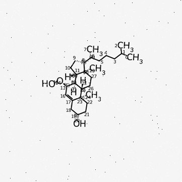 CC(C)CCC[C@@H](C)[C@H]1CC[C@H]2[C@@H]3[C@H](OO)C=C4C[C@@H](O)CC[C@]4(C)[C@H]3CC[C@]12C